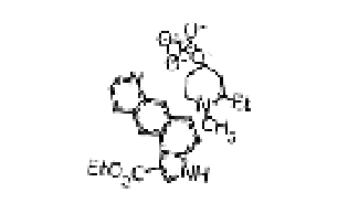 CCC1=[N+](C)CCCC1.CCOC(=O)c1c[nH]c2ccc3cc4ncccc4cc3c12.[O-][Cl+3]([O-])([O-])[O-]